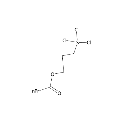 CCCC(=O)OCCCS(Cl)(Cl)Cl